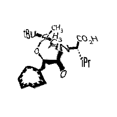 CC(C)[C@H](NC(=O)[C@H](O[Si](C)(C)C(C)(C)C)c1ccccc1)C(=O)O